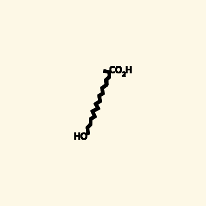 CC(CC=CCCCCCCCCCCCCO)C(=O)O